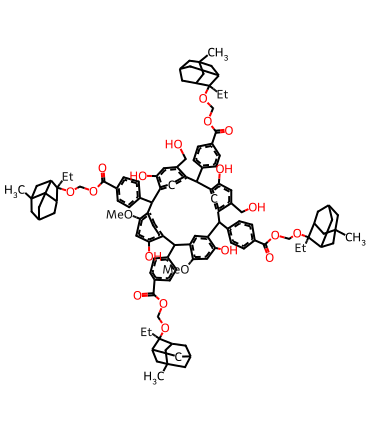 CCC1(OCOC(=O)c2ccc(C3c4cc(c(OC)cc4O)C(c4ccc(C(=O)OCOC5(CC)C6CC7CC5CC(C)(C7)C6)cc4)c4cc(c(OC)cc4O)C(c4ccc(C(=O)OCOC5(CC)C6CC7CC5CC(C)(C7)C6)cc4)c4cc(c(CO)cc4O)C(c4ccc(C(=O)OCOC5(CC)C6CC7CC5CC(C)(C7)C6)cc4)c4cc3c(CO)cc4O)cc2)C2CC3CC1CC(C)(C3)C2